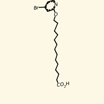 O=C(O)CCCCCCCCCCCCCOc1cc(Br)ccn1